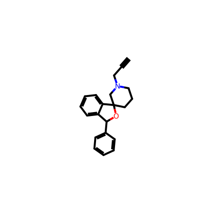 C#CCN1CCCC2(C1)OC(c1ccccc1)c1ccccc12